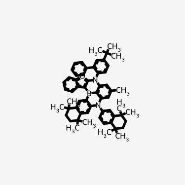 Cc1cc2c3c(c1)N(c1ccc(C(C)(C)C)cc1-c1ccccc1)c1oc4ccccc4c1B3c1cc3c(cc1N2c1ccc2c(c1)C(C)(C)CCC2(C)C)C(C)(C)CCC3(C)C